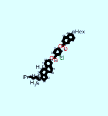 CCCCCCc1ccc2cc(C(=O)Oc3ccc(C(=O)O[C@H]4CC[C@@]5(C)C(=CCC6C5CC[C@@]5(C)C6CC[C@@H]5C(C)CCCC(C)C)C4)c(Cl)c3)ccc2c1